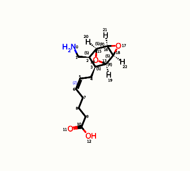 NC[C@@H]1[C@H](C/C=C\CCCC(=O)O)[C@H]2O[C@@H]1[C@H]1O[C@H]12